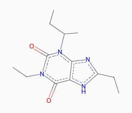 CCc1nc2c([nH]1)c(=O)n(CC)c(=O)n2C(C)CC